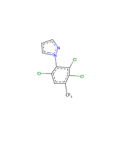 FC(F)(F)c1cc(Cl)c(-n2cccn2)c(Cl)c1Cl